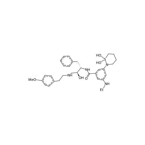 CCNc1cc(C(=O)N[C@@H](Cc2ccccc2)[C@@H](O)CNCCc2ccc(OC)cc2)cc(N2CCCCS2(O)O)c1